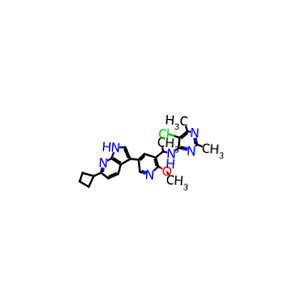 COc1ncc(-c2c[nH]c3nc(C4CCC4)ccc23)cc1C(C)Nc1nc(C)nc(C)c1Cl